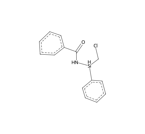 O=C(N[SiH](CCl)c1ccccc1)c1ccccc1